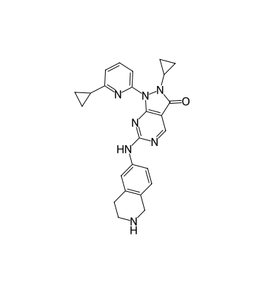 O=c1c2cnc(Nc3ccc4c(c3)CCNC4)nc2n(-c2cccc(C3CC3)n2)n1C1CC1